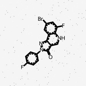 O=c1c2c[nH]c3c(F)cc(Br)cc3c-2nn1-c1ccc(F)cc1